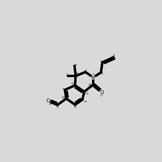 C=CCN1CC(C)(C)c2cc(C=O)ccc2C1=O